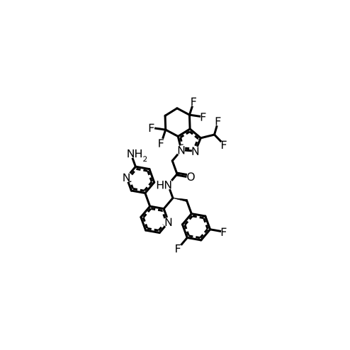 Nc1ccc(-c2cccnc2[C@H](Cc2cc(F)cc(F)c2)NC(=O)Cn2nc(C(F)F)c3c2C(F)(F)CCC3(F)F)cn1